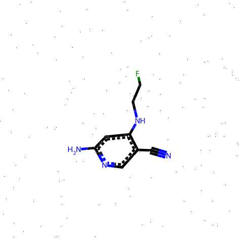 N#Cc1cnc(N)cc1NCCF